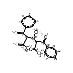 CC(=O)C(C(=O)c1ccccc1)N(C)C(C(C)=O)C(=O)c1ccccc1